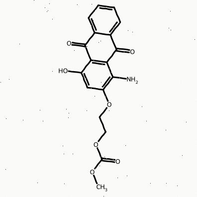 COC(=O)OCCOc1cc(O)c2c(c1N)C(=O)c1ccccc1C2=O